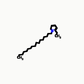 CCCCCCCCCCCCCCCCC[n+]1ccccc1CC